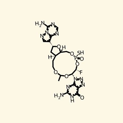 CC1OCC[C@H]2C[C@H](c3cnn4c(N)ncnc34)O[C@@H]2COP(=O)(S)O[C@H](F)[C@H](n2nnc3c(=O)[nH]c(N)nc32)O1